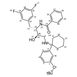 CC(C)(C)Oc1cccc(C2(NC[C@@H](O)[C@H](Cc3cc(F)cc(F)c3)NC(=O)c3ccccc3)CCCCC2)c1